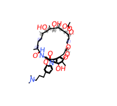 CO[C@H]1/C=C/O[C@@]2(C)Oc3c(C)c(O)c4c(=O)c(c5oc6cc(CCCN(C)C)ccc6nc-5c4c3C2=O)NC(=O)/C(C)=C\C=C\[C@H](C)[C@H](O)[C@@H](C)[C@@H](O)[C@@H](C)[C@H](OC(C)=O)[C@@H]1C